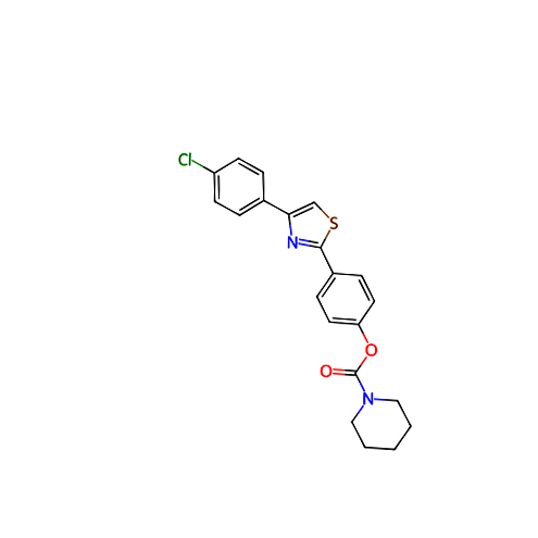 O=C(Oc1ccc(-c2nc(-c3ccc(Cl)cc3)cs2)cc1)N1CCCCC1